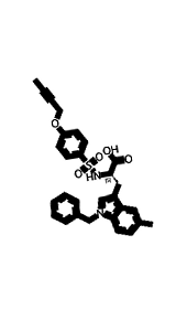 CC#CCOc1ccc(S(=O)(=O)N[C@@H](Cc2cn(Cc3ccccc3)c3ccc(C)cc23)C(=O)O)cc1